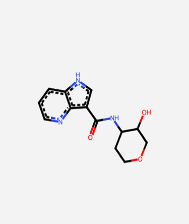 O=C(NC1CCOCC1O)c1c[nH]c2cccnc12